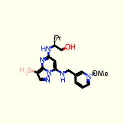 Bc1cnn2c(NCc3ccc[n+](OC)c3)cc(N[C@H](CO)C(C)C)nc12